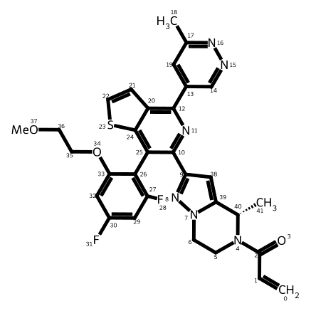 C=CC(=O)N1CCn2nc(-c3nc(-c4cnnc(C)c4)c4ccsc4c3-c3c(F)cc(F)cc3OCCOC)cc2[C@@H]1C